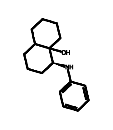 OC12CCCCC1CCC[C@@H]2Nc1ccccc1